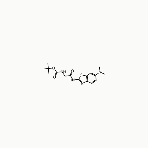 CN(C)c1ccc2nc(NC(=O)CNC(=O)OC(C)(C)C)sc2c1